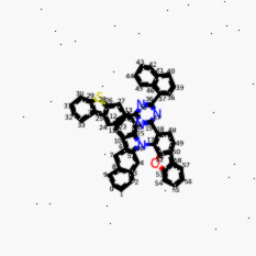 c1ccc2cc3c(cc2c1)c1ccccc1n3-c1c(-c2nc(-c3ccc4c(c3)sc3ccccc34)nc(-c3cccc4ccccc34)n2)ccc2c1oc1ccccc12